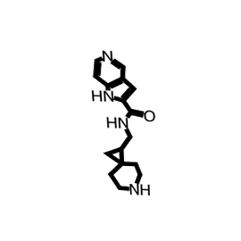 O=C(NCC1CC12CCNCC2)c1cc2cnccc2[nH]1